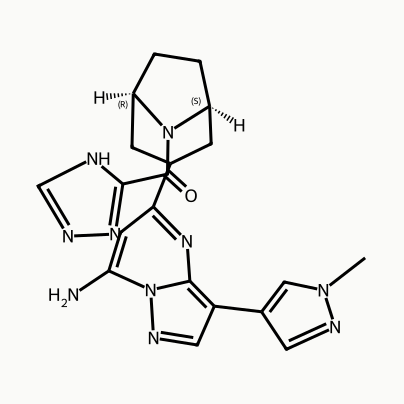 Cn1cc(-c2cnn3c(N)cc(C4C[C@H]5CC[C@@H](C4)N5C(=O)c4nnc[nH]4)nc23)cn1